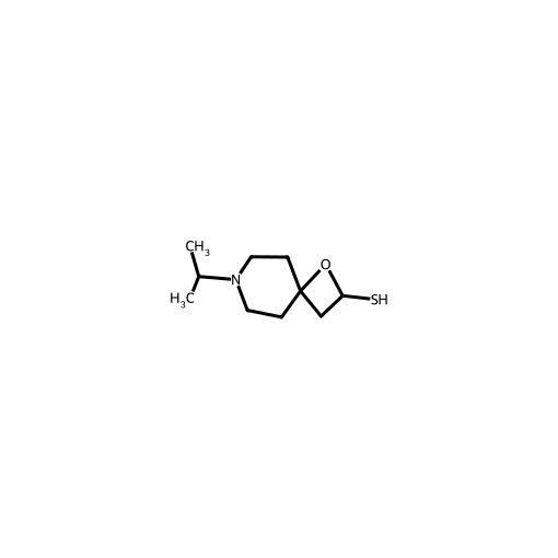 CC(C)N1CCC2(CC1)CC(S)O2